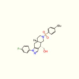 CC(C)(C)c1ccc(S(=O)(=O)N2CC[C@H]3Cc4c(cnn4-c4ccc(F)cc4)[C@@H](CO)C3C2)cc1